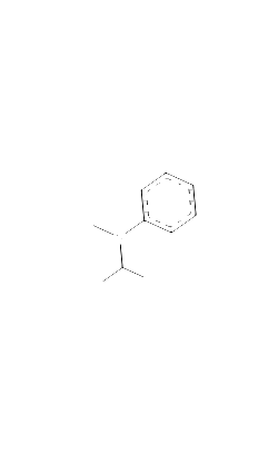 CCCC(O)N(C)c1ccccc1